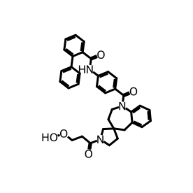 O=C(Nc1ccc(C(=O)N2CCC3(CCN(C(=O)CCOO)C3)Cc3ccccc32)cc1)c1ccccc1-c1ccccc1